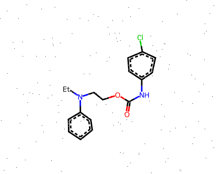 CCN(CCOC(=O)Nc1ccc(Cl)cc1)c1ccccc1